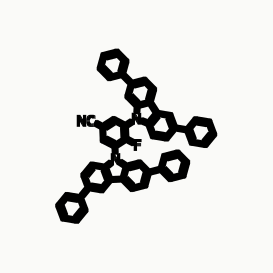 N#Cc1cc(-n2c3ccc(-c4ccccc4)cc3c3ccc(-c4ccccc4)cc32)c(F)c(-n2c3ccc(-c4ccccc4)cc3c3ccc(-c4ccccc4)cc32)c1